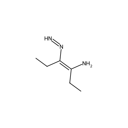 CC/C(N)=C(\CC)N=N